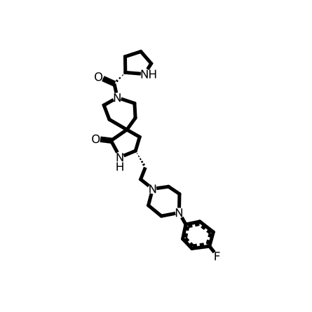 O=C([C@@H]1CCCN1)N1CCC2(CC1)C[C@H](CCN1CCN(c3ccc(F)cc3)CC1)NC2=O